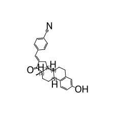 C[C@]12CC[C@@H]3c4ccc(O)cc4CC[C@H]3[C@@H]1CC(=Cc1ccc(C#N)cc1)C2=O